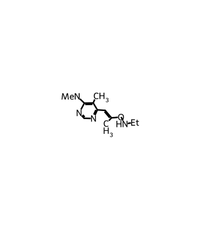 CCNO/C(C)=C/c1ncnc(NC)c1C